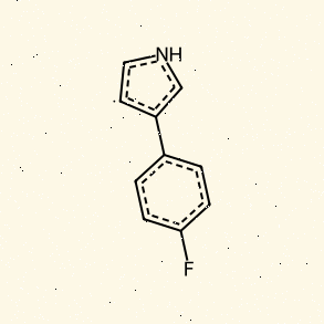 Fc1ccc(-c2[c]c[nH]c2)cc1